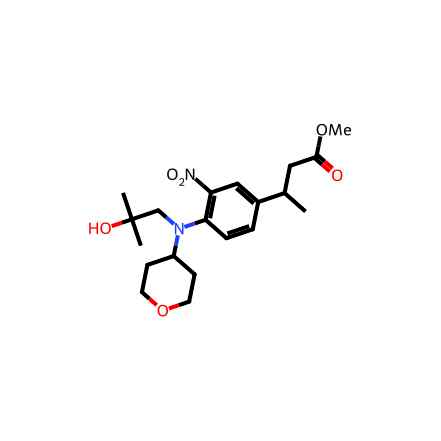 COC(=O)CC(C)c1ccc(N(CC(C)(C)O)C2CCOCC2)c([N+](=O)[O-])c1